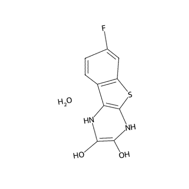 O.OC1=C(O)Nc2c(sc3cc(F)ccc23)N1